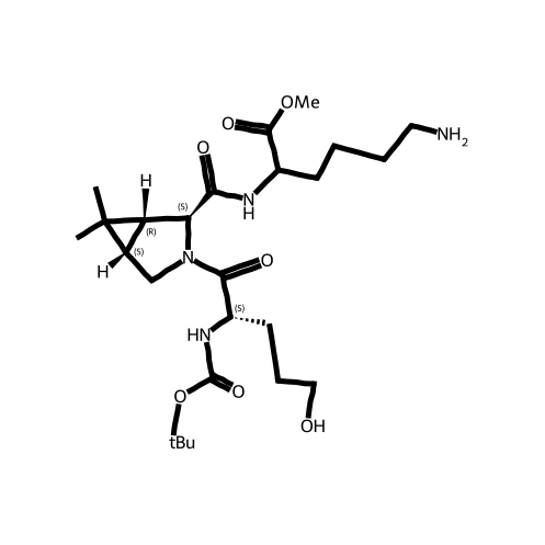 COC(=O)C(CCCCN)NC(=O)[C@@H]1[C@@H]2[C@H](CN1C(=O)[C@H](CCCO)NC(=O)OC(C)(C)C)C2(C)C